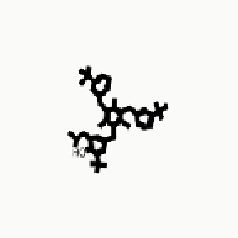 Cc1c(Cc2cccc(C(C)(C)C)c2)c(C)c(Cc2cc(CC(C)C)c(O)c(C(C)(C)C)c2)c(C)c1Cc1cccc(C(C)(C)C)c1